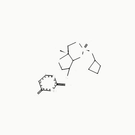 C[C@@]1(N)C2O[P@](=O)(OC3CCC3)OC[C@H]2O[C@H]1n1ccc(=O)[nH]c1=O